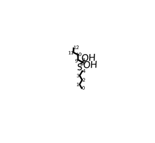 CCCCCSC(O)(O)CCCC